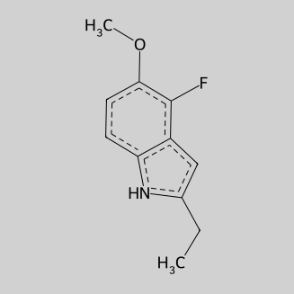 CCc1cc2c(F)c(OC)ccc2[nH]1